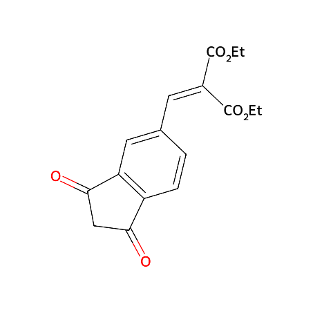 CCOC(=O)C(=Cc1ccc2c(c1)C(=O)CC2=O)C(=O)OCC